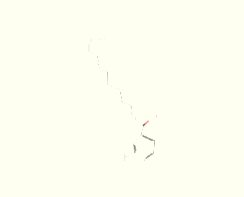 CCCCCCCCCCCCCCCCCCOC(=O)c1cccc(Cl)c1